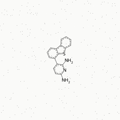 Nc1ccc(-c2cccc3c2sc2ccccc23)c(N)n1